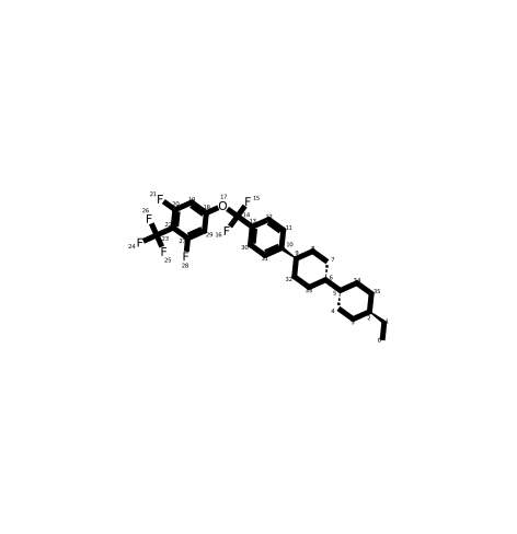 CC[C@H]1CC[C@H]([C@H]2CC[C@H](c3ccc(C(F)(F)Oc4cc(F)c(C(F)(F)F)c(F)c4)cc3)CC2)CC1